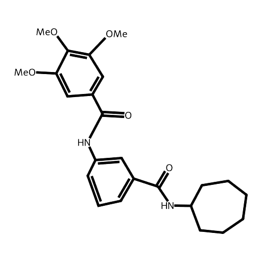 COc1cc(C(=O)Nc2cccc(C(=O)NC3CCCCCC3)c2)cc(OC)c1OC